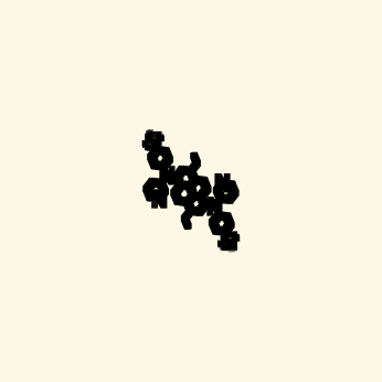 CCc1cc(N(c2ccc([Si](C)(C)C)cc2)c2cccnc2)c2ccc3c(CC)cc(N(c4ccc([Si](C)(C)C)cc4)c4cccnc4)c4ccc1c2c34